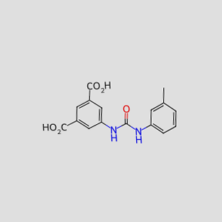 Cc1cccc(NC(=O)Nc2cc(C(=O)O)cc(C(=O)O)c2)c1